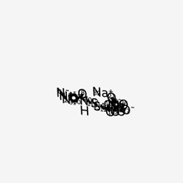 [N-]=[N+]=Nc1ccc(C(=O)NCCSSCCC(=O)ON2C(=O)CC(S(=O)(=O)[O-])C2=O)cc1.[Na+]